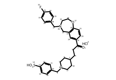 Cl.O=C(CCC1CCN(Cc2ccc(S(=O)(=O)O)cc2)CC1)c1ccc2c(c1)CN(Cc1ccc(F)cc1)CCO2